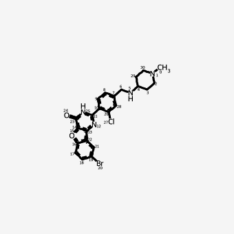 CN1CCC(NCc2ccc(-c3nc4c(oc5ccc(Br)cc54)c(=O)[nH]3)c(Cl)c2)CC1